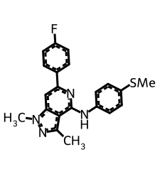 CSc1ccc(Nc2nc(-c3ccc(F)cc3)cc3c2c(C)nn3C)cc1